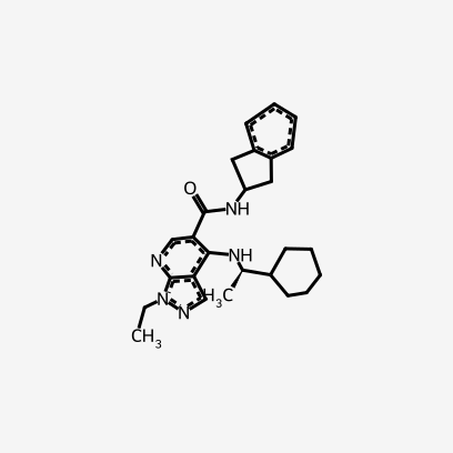 CCn1ncc2c(N[C@H](C)C3CCCCC3)c(C(=O)NC3Cc4ccccc4C3)cnc21